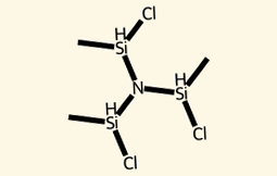 C[SiH](Cl)N([SiH](C)Cl)[SiH](C)Cl